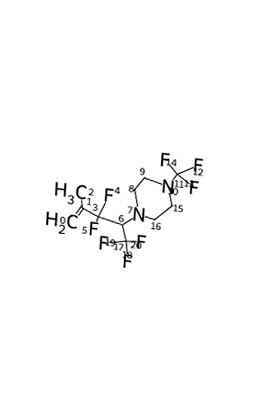 C=C(C)C(F)(F)C(N1CCN(C(F)(F)F)CC1)C(F)(F)F